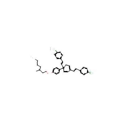 CC(C)CCCC(C)CCOc1ccc(C2(/C=C/c3ccc(Br)cc3)C=CC(/C=C/c3ccc(Br)cc3)=CC2)cc1